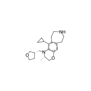 C[C@H]1COc2cc3c(c(C4CC4)c2N1C[C@@H]1CCOC1)CCNCC3